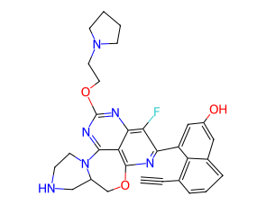 C#Cc1cccc2cc(O)cc(-c3nc4c5c(nc(OCCN6CCCC6)nc5c3F)N3CCNCC3CO4)c12